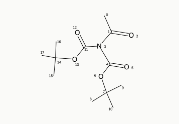 CC(=O)N(C(=O)OC(C)(C)C)C(=O)OC(C)(C)C